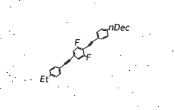 CCCCCCCCCCc1ccc(C#Cc2c(F)cc(C#Cc3ccc(CC)cc3)cc2F)cc1